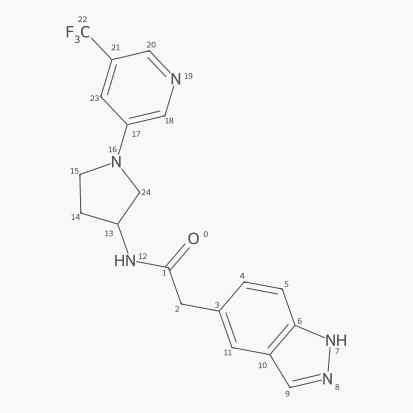 O=C(Cc1ccc2[nH]ncc2c1)NC1CCN(c2cncc(C(F)(F)F)c2)C1